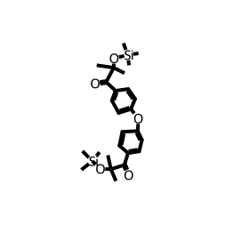 CC(C)(O[Si](C)(C)C)C(=O)c1ccc(Oc2ccc(C(=O)C(C)(C)O[Si](C)(C)C)cc2)cc1